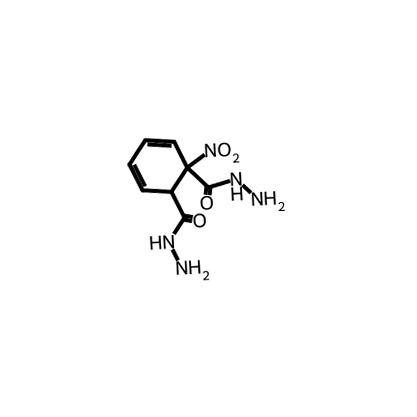 NNC(=O)C1C=CC=CC1(C(=O)NN)[N+](=O)[O-]